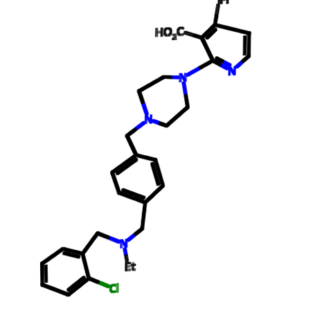 CCN(Cc1ccc(CN2CCN(c3nccc(C(C)C)c3C(=O)O)CC2)cc1)Cc1ccccc1Cl